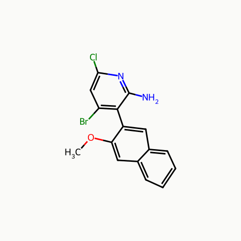 COc1cc2ccccc2cc1-c1c(Br)cc(Cl)nc1N